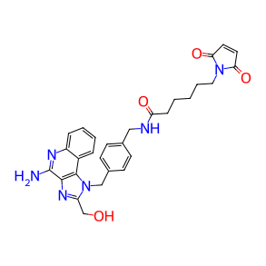 Nc1nc2ccccc2c2c1nc(CO)n2Cc1ccc(CNC(=O)CCCCCN2C(=O)C=CC2=O)cc1